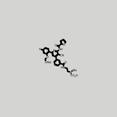 COCOc1cc(F)ccc1-c1cc(-c2cccc(C(=O)NCCN(C(=O)O)C(C)(C)C)c2)c(C#N)c(NC(=O)c2ccco2)n1